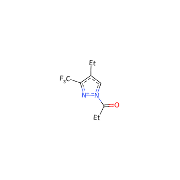 CCC(=O)n1cc(CC)c(C(F)(F)F)n1